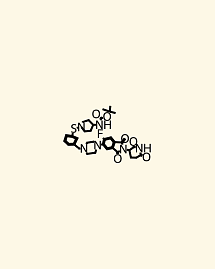 CC(C)(C)OC(=O)NC1CCN(Sc2cccc(CN3CCN(c4cc5c(cc4F)C(=O)N(C4CCC(=O)NC4=O)C5=O)CC3)c2)CC1